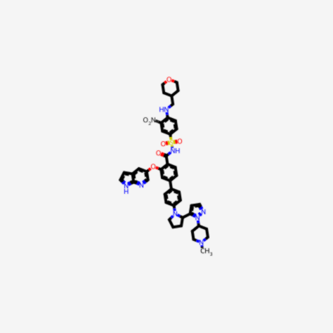 CN1CCC(n2nccc2C2CCCN2c2ccc(-c3ccc(C(=O)NS(=O)(=O)c4ccc(NCC5CCOCC5)c([N+](=O)[O-])c4)c(Oc4cnc5[nH]ccc5c4)c3)cc2)CC1